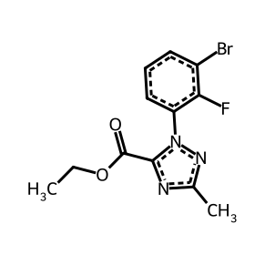 CCOC(=O)c1nc(C)nn1-c1cccc(Br)c1F